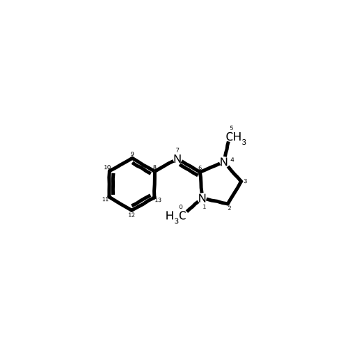 CN1CCN(C)C1=Nc1ccccc1